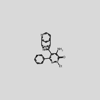 CCn1nc(-c2ccccc2)c(-c2nc3sc2-c2ccnc-3c2)c(N)c1=O